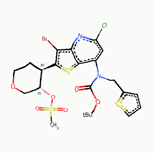 CC(C)(C)OC(=O)N(Cc1cccs1)c1cc(Cl)nc2c(Br)c([C@@H]3CCOC[C@H]3OS(C)(=O)=O)sc12